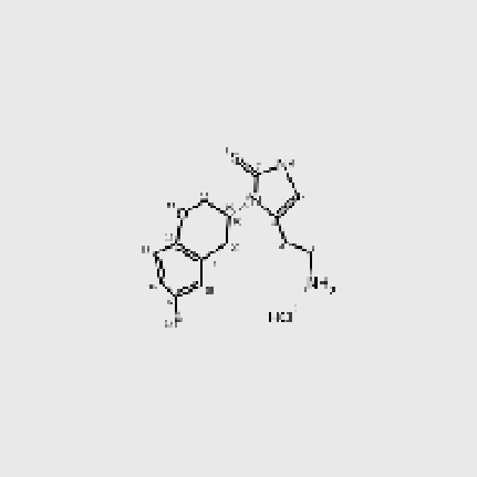 Cl.NCCC1=C[N]C(=S)N1[C@H]1COc2ccc(F)cc2C1